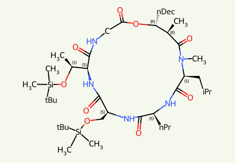 CCCCCCCCCC[C@H]1OC(=O)CNC(=O)[C@H]([C@H](C)O[Si](C)(C)C(C)(C)C)NC(=O)[C@H](CO[Si](C)(C)C(C)(C)C)NC(=O)[C@H](CCC)NC(=O)[C@H](CC(C)C)N(C)C(=O)[C@@H]1C